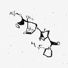 COC(=O)C(C)(C)CN(C=O)c1nc(C(=O)N2CCC[C@@H]2C)cs1